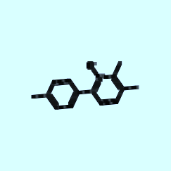 Cc1ccc(-c2ccc(C)c(C)[n+]2[O-])cc1